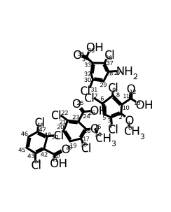 COc1c(Cl)cc(Cl)c(Cl)c1C(=O)O.COc1c(Cl)ccc(Cl)c1C(=O)O.Nc1cc(Cl)cc(C(=O)O)c1Cl.O=C(O)c1c(Cl)ccc(Cl)c1Cl